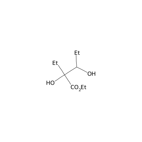 CCOC(=O)C(O)(CC)C(O)CC